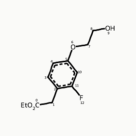 CCOC(=O)Cc1ccc(OCCO)cc1F